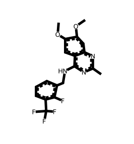 COc1cc2nc(C)nc(NCc3cccc(C(F)(F)F)c3F)c2cc1OC